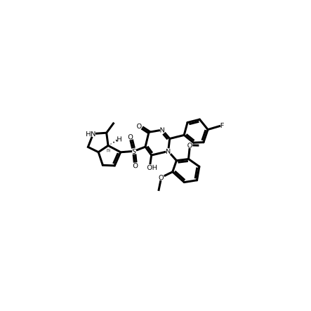 COc1cccc(OC)c1-n1c(-c2ccc(F)cc2)nc(=O)c(S(=O)(=O)C2=CCC3CNC(C)[C@@H]23)c1O